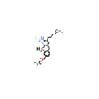 CCCCCc1cc(Cc2ccc(COC)cc2)c(C)nc1N